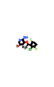 C[C@@H](Oc1cc(Br)cnc1[NH])c1c(F)ccc(F)c1Cl